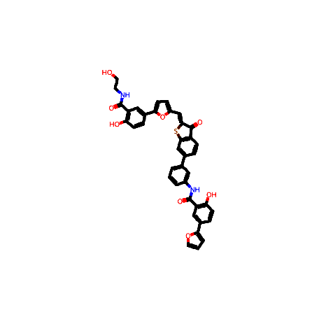 O=C(NCCO)c1cc(-c2ccc(/C=C3\Sc4cc(-c5cccc(NC(=O)c6cc(-c7ccco7)ccc6O)c5)ccc4C3=O)o2)ccc1O